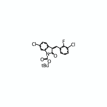 CC(C)(C)OC(=O)N1C(=O)C(=Cc2cccc(Cl)c2F)c2ccc(Cl)cc21